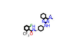 CN(C)c1nc(N[C@H]2CC[C@@H](CNC(=O)c3c(F)cccc3C(F)(F)F)CC2)nc2c1CCCC2